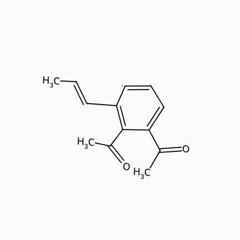 CC=Cc1[c]ccc(C(C)=O)c1C(C)=O